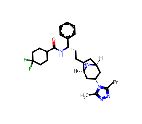 Cc1nnc(C(C)C)n1[C@H]1C[C@@H]2CC(CC[C@H](NC(=O)C3CCC(F)(F)CC3)c3ccccc3)[C@H](C1)N2